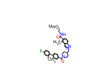 COCCNC(=O)c1ccc2nn(CC3CCN(C(=O)c4ccc(-c5ccc(F)cc5C)cc4)CC3)cc2c1C